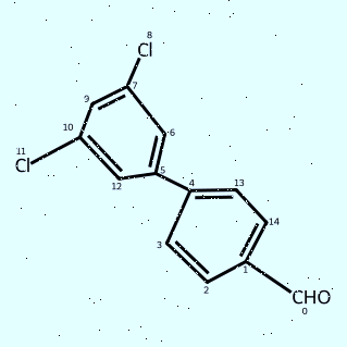 O=Cc1ccc(-c2cc(Cl)cc(Cl)c2)cc1